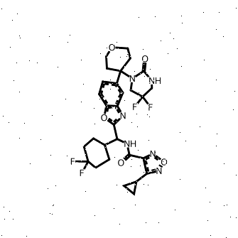 O=C(NC(c1nc2cc(C3(N4CC(F)(F)CNC4=O)CCOCC3)ccc2o1)C1CCC(F)(F)CC1)c1nonc1C1CC1